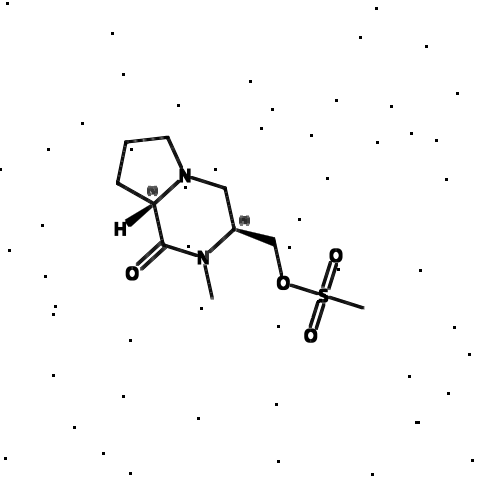 CN1C(=O)[C@@H]2CCCN2C[C@H]1COS(C)(=O)=O